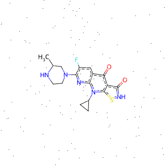 CC1CN(c2nc3c(cc2F)c(=O)c2c(=O)[nH]sc2n3C2CC2)CCN1